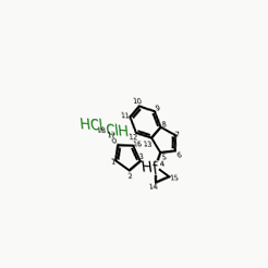 C1=CC[C]([Hf]2([CH]3C=Cc4ccccc43)[CH2][CH2]2)=C1.Cl.Cl